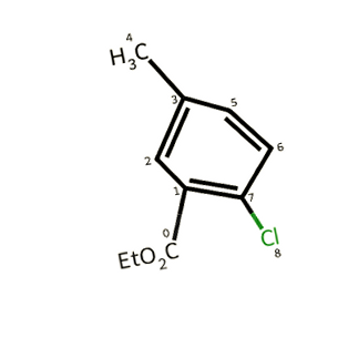 CCOC(=O)c1cc(C)ccc1Cl